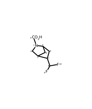 O=C(O)N1CC2CC1CC2C(F)F